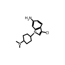 CN(C)C1CCC(n2cc(Cl)c3ccc(N)cc32)CC1